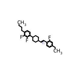 CCCCc1ccc(C2CCC(/C=C/c3ccc(CC)cc3F)CC2)c(F)c1F